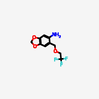 Nc1cc2c(cc1COCC(F)(F)F)OCO2